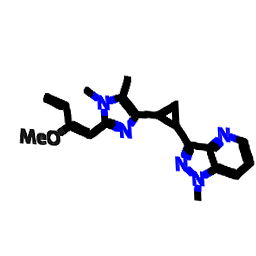 C=C/C(=C\c1nc(C2CC2c2nn(C)c3cccnc23)c(C)n1C)OC